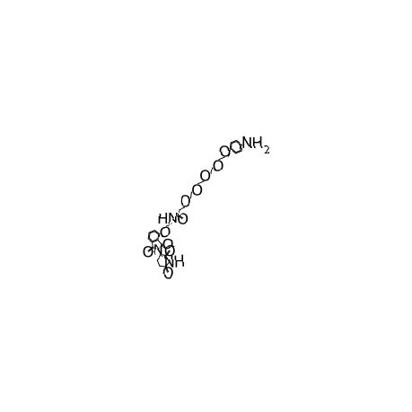 Nc1ccc(OCCOCCOCCOCCOCCC(=O)NCCOc2cccc3c2C(=O)N(C2CCC(=O)NC2=O)C3=O)cc1